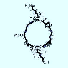 CO[C@H]1/C=C/C=C\C=C/C[C@@H](C(C)(C)[C@@H](O)/C=C/CCN)OC(=O)c2coc(n2)/C=C\C=C\[C@@H]2C[C@@H]2/C=C\C[C@@H](C(C)(C)[C@@H](O)/C=C/CCO)OC(=O)c2coc(n2)C1